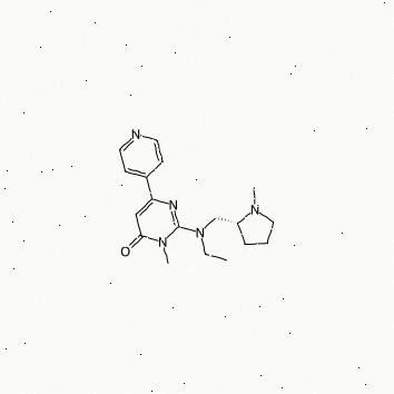 CCN(C[C@H]1CCCN1C)c1nc(-c2ccncc2)cc(=O)n1C